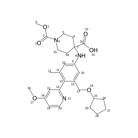 COC(=O)N1CCC(Nc2cc(C)c(-c3cc(OC)ccn3)c(COC3CCCC3)c2)(C(=O)O)CC1